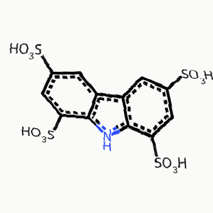 O=S(=O)(O)c1cc(S(=O)(=O)O)c2[nH]c3c(S(=O)(=O)O)cc(S(=O)(=O)O)cc3c2c1